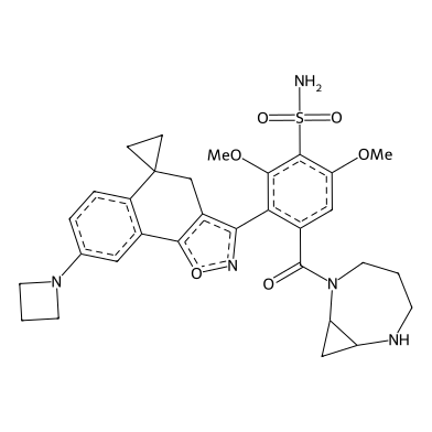 COc1cc(C(=O)N2CCCNC3CC32)c(-c2noc3c2CC2(CC2)c2ccc(N4CCC4)cc2-3)c(OC)c1S(N)(=O)=O